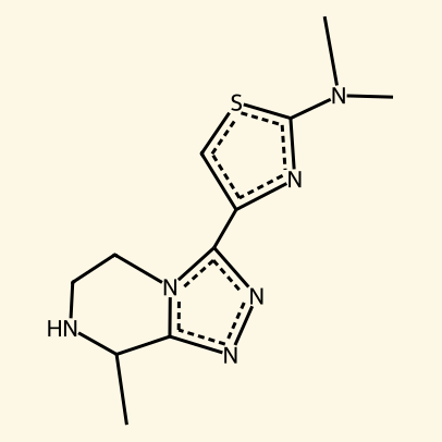 CC1NCCn2c(-c3csc(N(C)C)n3)nnc21